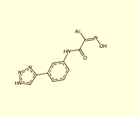 CC(=O)/C(=N/O)C(=O)Nc1cccc(-c2c[nH]nn2)c1